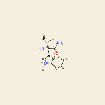 C=CC(C)[C@@](N)(C(N)=O)c1cn(C)c2ccccc12